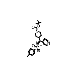 Cc1ccc(S(=O)(=O)N/N=C(\c2ccncc2)C2CCN(C(=O)OC(C)(C)C)CC2)cc1